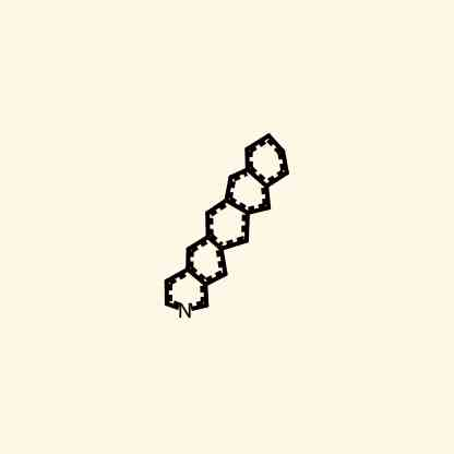 c1ccc2cc3cc4cc5cnccc5cc4cc3cc2c1